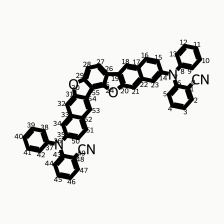 N#Cc1ccccc1N(c1ccccc1)c1ccc2cc3c(cc2c1)oc1c3ccc2oc3cc4cc(N(c5ccccc5)c5ccccc5C#N)ccc4cc3c21